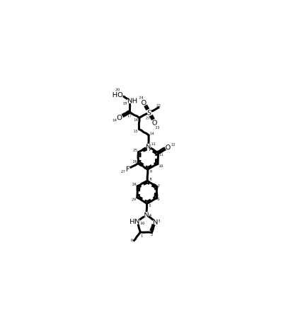 CC1C=NN(c2ccc(-c3cc(=O)n(CCC(C(=O)NO)S(C)(=O)=O)cc3F)cc2)N1